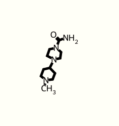 CN1CCC(N2CCN(C(N)=O)CC2)CC1